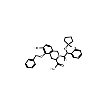 CC1(OC(C(=O)N2Cc3ccc(O)c(OCc4ccccc4)c3CC2C(=O)O)c2ccccc2)CCCC1